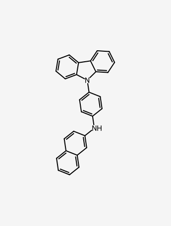 c1ccc2cc(Nc3ccc(-n4c5ccccc5c5ccccc54)cc3)ccc2c1